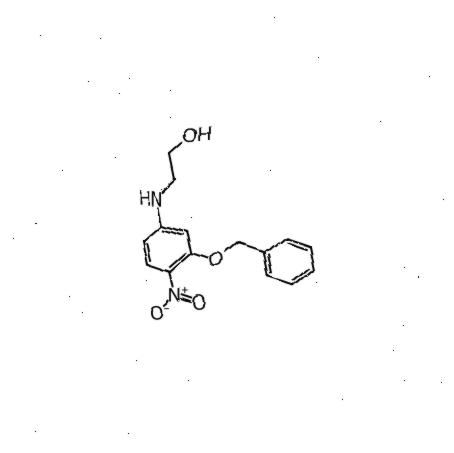 O=[N+]([O-])c1ccc(NCCO)cc1OCc1ccccc1